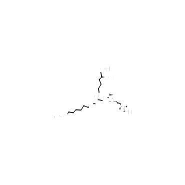 CCCCCCCCCCCCCCCCOC[C@@H](COP(=O)(O)OCC[N+](C)(C)C)OCCCCC(O)CO